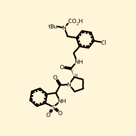 CC(C)(C)N(Cc1ccc(Cl)cc1CNC(=O)[C@@H]1CCCN1C(=O)C1NS(=O)(=O)c2ccccc21)C(=O)O